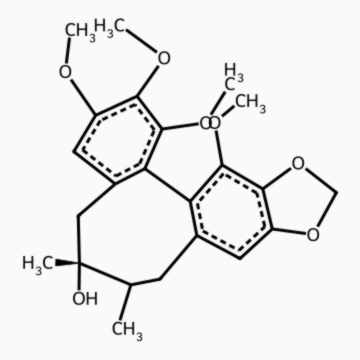 COc1cc2c(c(OC)c1OC)-c1c(cc3c(c1OC)OCO3)CC(C)[C@](C)(O)C2